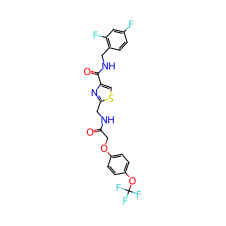 O=C(COc1ccc(OC(F)(F)F)cc1)NCc1nc(C(=O)NCc2ccc(F)cc2F)cs1